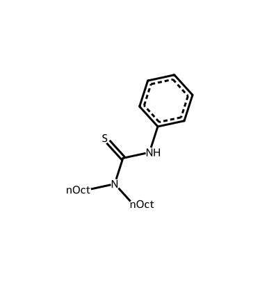 CCCCCCCCN(CCCCCCCC)C(=S)Nc1ccccc1